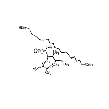 CC(=O)C(=O)O.CCCCCCCCCCCCCCCCCCCCCCCCCCO.O=CC(O)C(O)C(O)C(O)CO